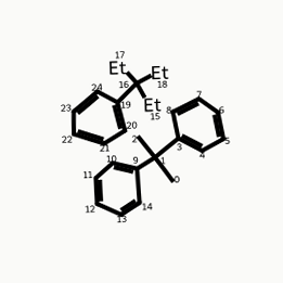 CC(C)(c1ccccc1)c1ccccc1.CCC(CC)(CC)c1ccccc1